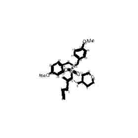 C=CCC(C)[C@@H](CC1CCOCC1)S(=O)(=O)N(Cc1ccc(OC)cc1)Cc1ccc(OC)cc1